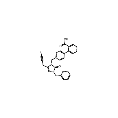 CC#CCc1cn(Cc2ccccc2)c(=O)n1Cc1ccc(-c2ccccc2C(=O)O)cc1